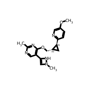 COc1ccc([C@H]2C[C@@H]2COc2nc(C)ncc2-c2cn(C)[nH]2)nc1